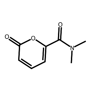 CN(C)C(=O)c1cccc(=O)o1